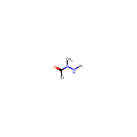 CCC(=O)N(C)NC(C)=O